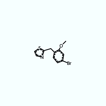 COc1cc(Br)ccc1Cc1nccs1